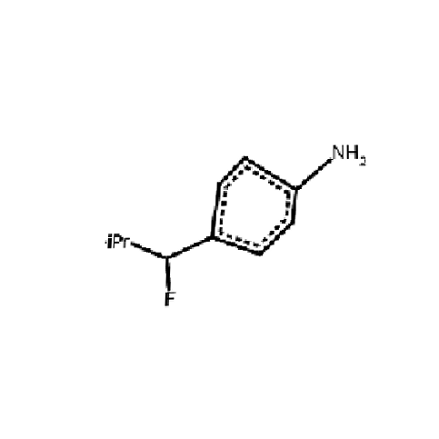 C[C](C)C(F)c1ccc(N)cc1